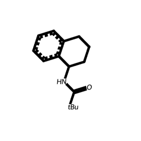 CC(C)(C)C(=O)NC1CCCc2ccccc21